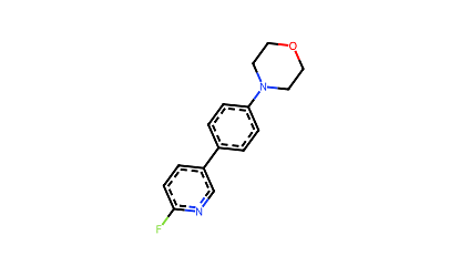 Fc1ccc(-c2ccc(N3CCOCC3)cc2)cn1